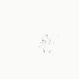 C#C[C@]12OC(=S)O[C@H]1[C@H](n1cnc3c(NC(=O)O)nc(Cl)nc31)O[C@@H]2CO[Si](c1ccccc1)(c1ccccc1)C(C)(C)C